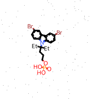 CCC(CC)(CCCOP(=O)(O)O)n1c2ccc(Br)cc2c2cc(Br)ccc21